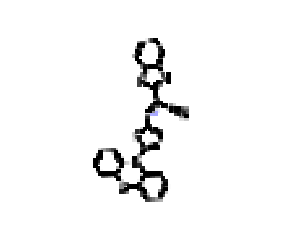 N#C/C(=C\c1ccc(N2c3ccccc3Sc3ccccc32)s1)C1=NC2=CCC=CC2=N1